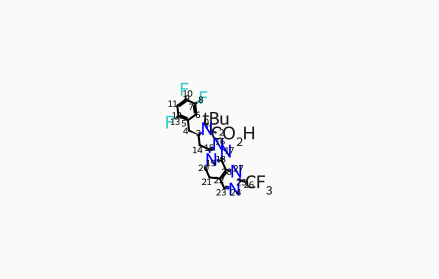 CC(C)(C)N(C(=O)O)[C@H](Cc1cc(F)c(F)cc1F)Cc1nnc2n1CCc1cnc(C(F)(F)F)nc1-2